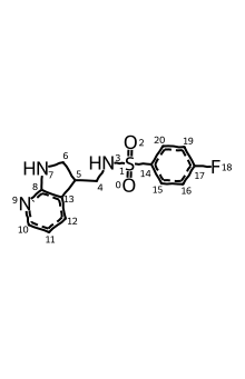 O=S(=O)(NCC1CNc2ncccc21)c1ccc(F)cc1